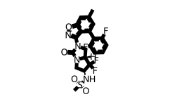 Cc1cc(-c2c(F)cccc2F)c2c(N3C[C@H]4N(C[C@@H](NS(C)(=O)=O)C4(F)F)C3=O)noc2c1